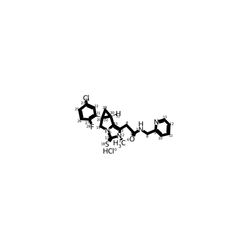 Cl.Cn1c(CC(=O)NCc2ccccn2)c2n(c1=S)C[C@@]1(c3cc(Cl)ccc3F)C[C@@H]21